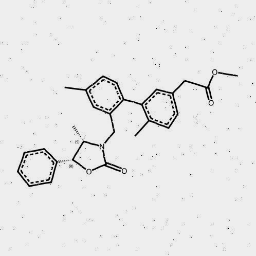 COC(=O)Cc1ccc(C)c(-c2ccc(C)cc2CN2C(=O)O[C@H](c3ccccc3)[C@@H]2C)c1